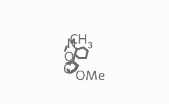 COc1cccc(C23CCCCC2N(C)CCO3)c1